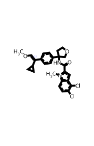 CO/C=C(/c1ccc(C2(NC(=O)c3cc4c(Cl)c(Cl)ccc4n3C)CCOC2)cc1)C1CC1